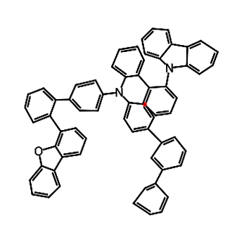 c1ccc(-c2cccc(-c3ccc(N(c4ccc(-c5ccccc5-c5cccc6c5oc5ccccc56)cc4)c4ccccc4-c4ccccc4-n4c5ccccc5c5ccccc54)cc3)c2)cc1